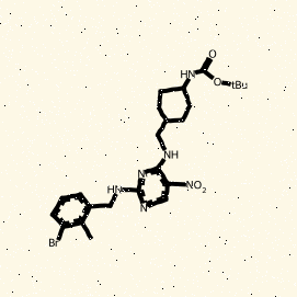 Cc1c(Br)cccc1CNc1ncc([N+](=O)[O-])c(NCC2CCC(NC(=O)OC(C)(C)C)CC2)n1